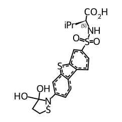 CC(C)[C@H](NS(=O)(=O)c1ccc2c(c1)sc1cc(N3SCCC3(O)O)ccc12)C(=O)O